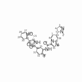 CN1N=CCC1c1ccn2c(C(=O)Nc3cc(C(=O)N[C@@H](CO)[C@@H](O)c4ccccc4)ccc3F)cnc2c1